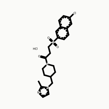 Cc1nccn1CC1CCN(C(=O)CCS(=O)(=O)c2ccc3cc(Cl)ccc3c2)CC1.Cl